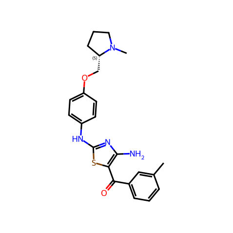 Cc1cccc(C(=O)c2sc(Nc3ccc(OC[C@@H]4CCCN4C)cc3)nc2N)c1